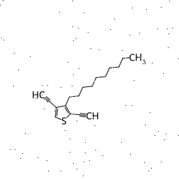 C#Cc1csc(C#C)c1CCCCCCCCCC